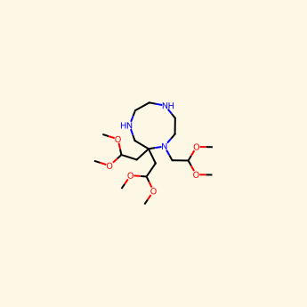 COC(CN1CCNCCNCC1(CC(OC)OC)CC(OC)OC)OC